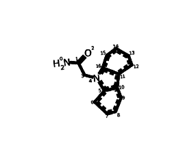 NC(=O)Cn1c2ccccc2c2ccccc21